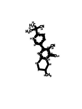 CC1CSc2nc(-c3ccc(C(C)(C)C#N)nc3)c(C#N)c(=O)n2C1